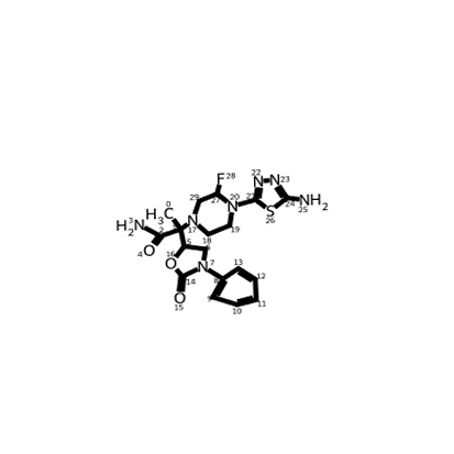 CC(C(N)=O)(C1CN(c2ccccc2)C(=O)O1)N1CCN(c2nnc(N)s2)C(F)C1